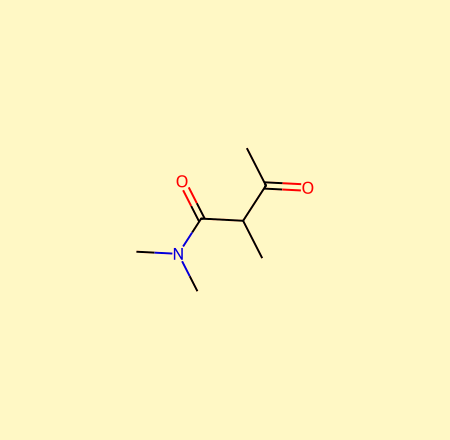 CC(=O)C(C)C(=O)N(C)C